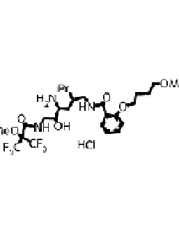 COCCCCOc1ccccc1C(=O)NCC(CC(N)C(O)CNC(=O)C(OC)(C(F)(F)F)C(F)(F)F)C(C)C.Cl